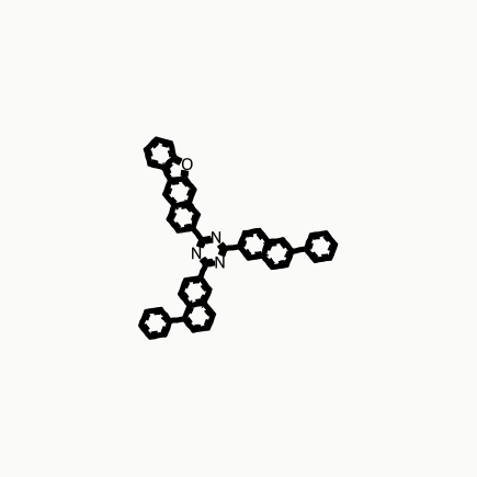 c1ccc(-c2ccc3cc(-c4nc(-c5ccc6cc7c(cc6c5)oc5ccccc57)nc(-c5ccc6c(-c7ccccc7)cccc6c5)n4)ccc3c2)cc1